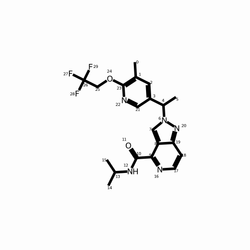 Cc1cc(C(C)n2cc3c(C(=O)NC(C)C)nccc3n2)cnc1OCC(F)(F)F